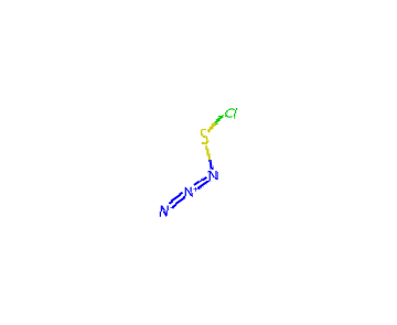 [N-]=[N+]=NSCl